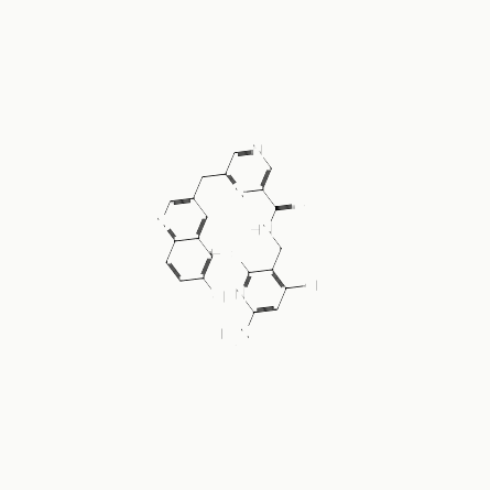 Cc1cc(N)nc(C)c1CNC(=O)c1cncc(Cc2cnc3ccc(Cl)cc3c2)n1